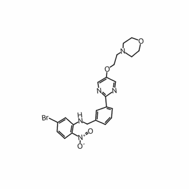 O=[N+]([O-])c1ccc(Br)cc1NCc1cccc(-c2ncc(OCCN3CCOCC3)cn2)c1